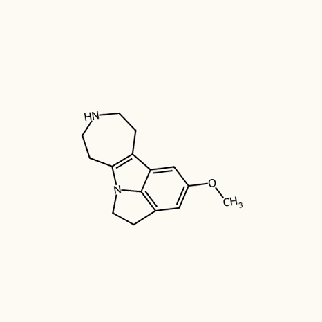 COc1cc2c3c(c1)c1c(n3CC2)CCNCC1